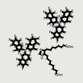 CCCCCCCCCCCCCCCCCC1N=CNC1CCCCCCCCCCCCCCCCC.Fc1c(F)c(F)c2c(F)c(B(c3c(F)c(F)c4c(F)c(F)c(F)c(F)c4c3F)c3c(F)c(F)c4c(F)c(F)c(F)c(F)c4c3F)c(F)c(F)c2c1F.Fc1c(F)c(F)c2c(F)c(B(c3c(F)c(F)c4c(F)c(F)c(F)c(F)c4c3F)c3c(F)c(F)c4c(F)c(F)c(F)c(F)c4c3F)c(F)c(F)c2c1F